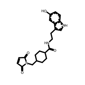 O=C(NCCc1c[nH]c2ccc(O)cc12)C1CCC(CN2C(=O)C=CC2=O)CC1